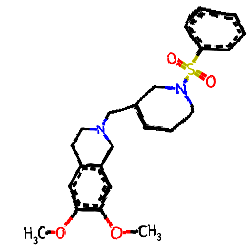 COc1cc2c(cc1OC)CN(CC1CCCN(S(=O)(=O)c3ccccc3)C1)CC2